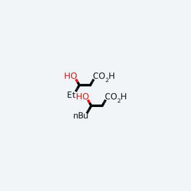 CCC(O)CC(=O)O.CCCCC(O)CC(=O)O